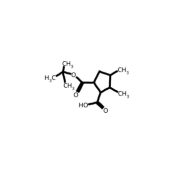 CC1CC(C(=O)OC(C)(C)C)C(C(=O)O)C1C